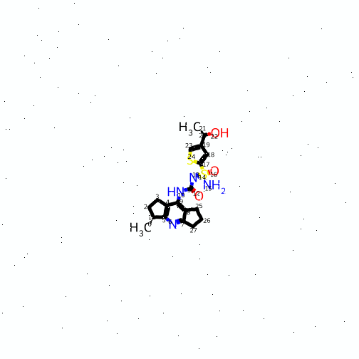 C[C@@H]1CCc2c1nc1c(c2NC(=O)N=S(N)(=O)c2cc([C@@H](C)O)cs2)CCC1